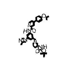 Cc1cn(-c2cc(CN3CCC[C@H](NC(=O)OC(C)(C)C)C3)cc(NC(=O)c3cc(-c4ccc(OC(C)C)cc4)ccn3)c2)cn1